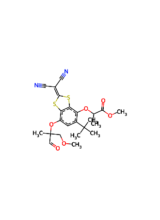 COCC(C)(C=O)Oc1cc(C(C)(C)C)c(OC(C)C(=O)OC)c2c1SC(=C(C#N)C#N)S2